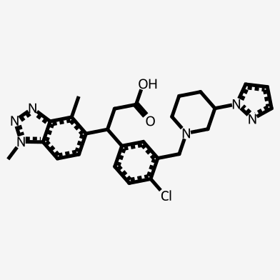 Cc1c(C(CC(=O)O)c2ccc(Cl)c(CN3CCCC(n4cccn4)C3)c2)ccc2c1nnn2C